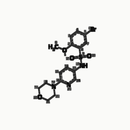 COc1ccc(Br)cc1S(=O)(=O)Nc1ccc(N2CCOCC2)nc1